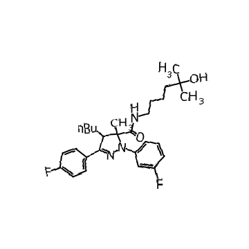 CCCCC1C(c2ccc(F)cc2)=NN(c2cccc(F)c2)C1(C)C(=O)NCCCCC(C)(C)O